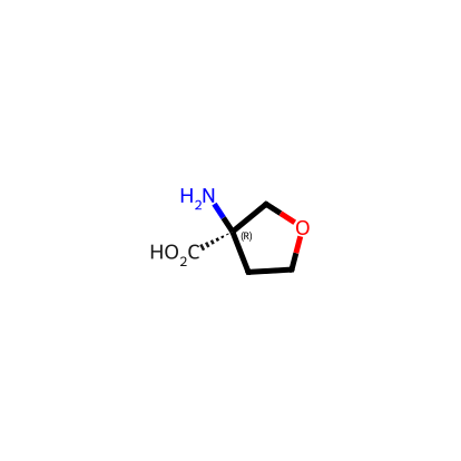 N[C@]1(C(=O)O)CCOC1